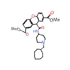 COC(=O)c1ccc2c(c1)C(C(=O)NC1CCN(CC3CCCCCCC3)CC1)c1cc(C(=O)OC)ccc1O2